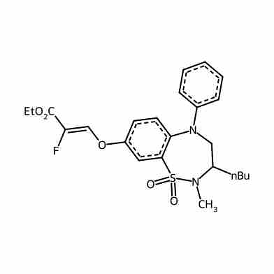 CCCCC1CN(c2ccccc2)c2ccc(O/C=C(\F)C(=O)OCC)cc2S(=O)(=O)N1C